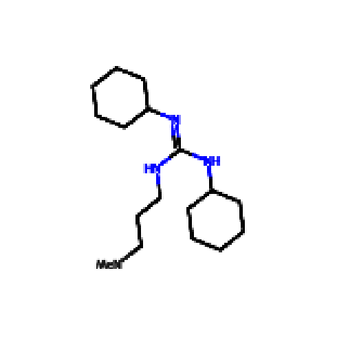 CNCCCN/C(=N\C1CCCCC1)NC1CCCCC1